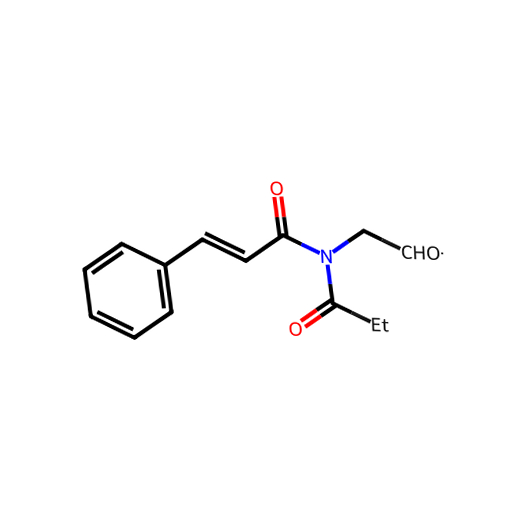 CCC(=O)N(C[C]=O)C(=O)/C=C/c1ccccc1